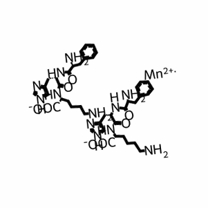 NCCCC[C@H](NC(=O)[C@H](Cc1c[nH]cn1)NC(=O)[C@@H](N)Cc1ccccc1)C(=O)[O-].NCCCC[C@H](NC(=O)[C@H](Cc1c[nH]cn1)NC(=O)[C@@H](N)Cc1ccccc1)C(=O)[O-].[Mn+2]